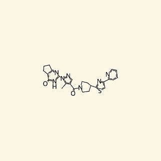 Cc1c(C(=O)N2CCC(c3nc(-c4ccccn4)cs3)CC2)cnn1-c1nc2c(c(=O)[nH]1)CCC2